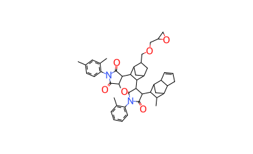 Cc1ccc(N2C(=O)C(C)C(C3C4CC(CC4COCC4CO4)C3C3C(=O)N(c4ccccc4C)C(=O)C3C3C(C)C4CC3C3C=CCC34)C2=O)c(C)c1